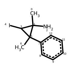 CC1(N)C(I)C1(C)c1ccccc1